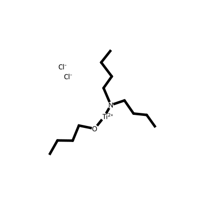 CCCC[O][Ti+2][N](CCCC)CCCC.[Cl-].[Cl-]